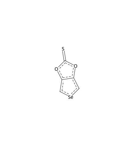 S=c1oc2c[se]cc2o1